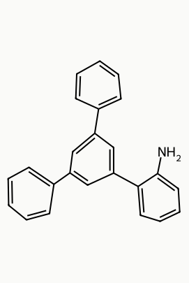 Nc1ccccc1-c1cc(-c2ccccc2)cc(-c2ccccc2)c1